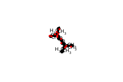 CC(C)(c1ccccc1)c1ccc(N(c2ccc(C(C)(C)c3ccccc3)cc2)c2ccc3c(ccc4c5cc6c(cc5oc34)oc3c4ccc(N(c5ccc(C(C)(C)c7ccccc7)cc5)c5ccc(C(C)(C)c7ccccc7)cc5)cc4ccc63)c2)cc1